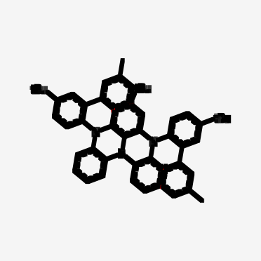 Cc1cncc(-c2cc(C(C)(C)C)ccc2N2c3ccccc3B3c4ccccc4N(c4ccc(C(C)(C)C)cc4-c4cc(C)ccn4)c4cc(C(C)(C)C)cc2c43)c1